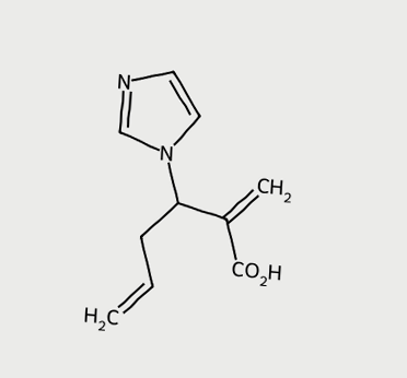 C=CCC(C(=C)C(=O)O)n1ccnc1